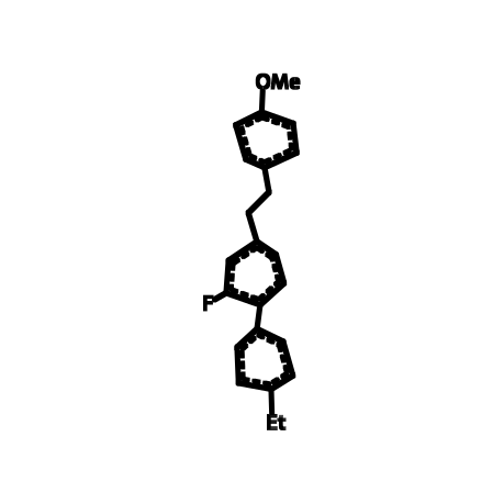 CCc1ccc(-c2ccc(CCc3ccc(OC)cc3)cc2F)cc1